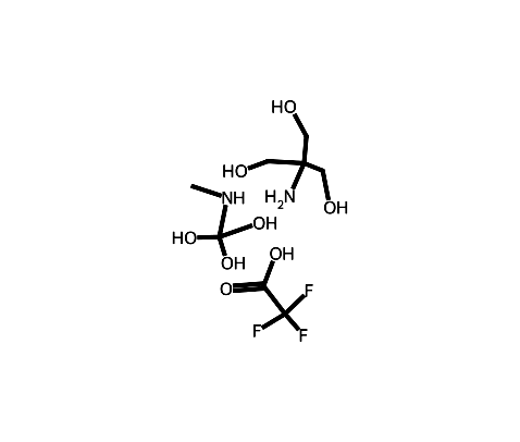 CNC(O)(O)O.NC(CO)(CO)CO.O=C(O)C(F)(F)F